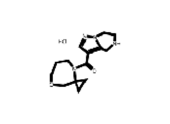 Cl.O=C(c1cnn2c1CNCC2)N1CCCOCC12CC2